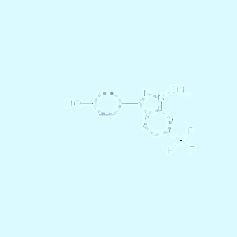 Cn1nc(-c2ccc(O)cc2)c2ccc(C(F)(F)F)cc21